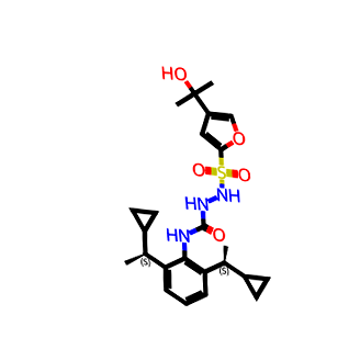 C[C@H](c1cccc([C@@H](C)C2CC2)c1NC(=O)NNS(=O)(=O)c1cc(C(C)(C)O)co1)C1CC1